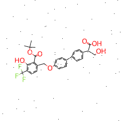 CC(C)(C)OC(=O)c1c(COc2ccc(-c3ccc(C(CO)C(=O)O)cc3)cc2)ccc(C(F)(F)F)c1O